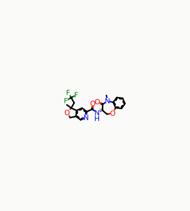 CN1C(=O)[C@@H](NC(=O)c2cc3c(cn2)COC3(C)CC(F)(F)F)COc2ccccc21